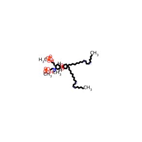 CCCCC/C=C\C/C=C\CCCCCCCCC1(CCCCCCCC/C=C\C/C=C\CCCCC)CCC2(CC1)O[C@H]1CC(N(C)CCOP(=O)(O)OC)[C@@H](CCCOP(=O)(O)OC)C[C@@H]1O2